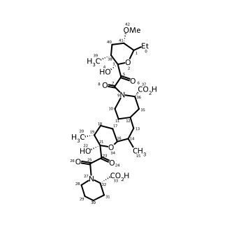 CCC1O[C@@](O)(C(=O)C(=O)N2CCC(CC(C)C3CC[C@@H](C)[C@](O)(C(=O)C(=O)N4CCCC[C@H]4C(=O)O)O3)C[C@H]2C(=O)O)[C@H](C)C[C@@H]1OC